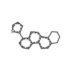 c1csc(-c2cccc3c2ccc2c4c(ccc23)CCCC4)c1